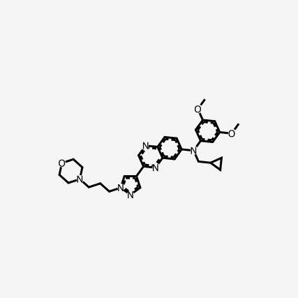 COc1cc(OC)cc(N(CC2CC2)c2ccc3ncc(-c4cnn(CCCN5CCOCC5)c4)nc3c2)c1